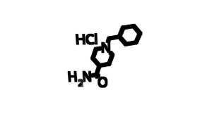 Cl.NC(=O)C1CCN(CC2CCCCC2)CC1